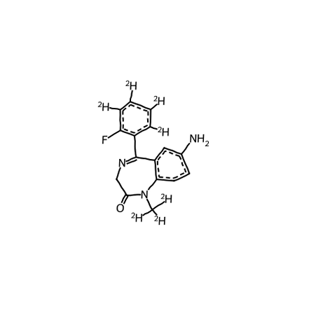 [2H]c1c([2H])c([2H])c(C2=NCC(=O)N(C([2H])([2H])[2H])c3ccc(N)cc32)c(F)c1[2H]